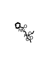 CCO[PH]1(CCNC(=O)c2ccccc2)OC(C)O1